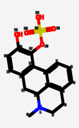 CN1CCc2cccc3c2C1Cc1ccc(O)c(OS(=O)(=O)O)c1-3